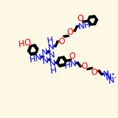 [N-]=[N+]=NCCOCCOCCNC(=O)c1ccc(Nc2nc(NCCOCCOCCNC(=O)c3ccccc3)nc(Nc3ccc(O)cc3)n2)cc1